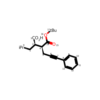 CC(C)C[C@@H](C(=O)O)[C@H](CC#Cc1ccccc1)C(=O)OC(C)(C)C